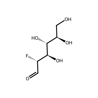 O=C[C@H](F)[C@H](O)[C@H](O)[C@H](O)CO